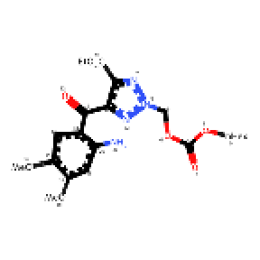 CCCCCCOC(=O)OCn1nc(C(=O)OCC)c(C(=O)c2cc(OC)c(OC)cc2N)n1